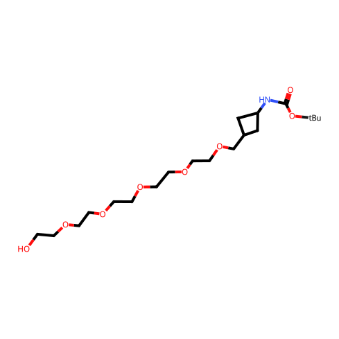 CC(C)(C)OC(=O)NC1CC(COCCOCCOCCOCCOCCO)C1